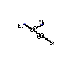 CC/C=C\CCCCOC(CCCCC(=O)OCCCCCCBr)OCCCC/C=C\CC